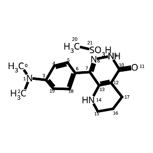 CN(C)c1ccc(-c2n[nH]c(=O)c3c2NCCC3)cc1.CS(=O)(=O)O